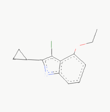 CCOc1c[c]cc2[nH]c(C3CC3)c(Cl)c12